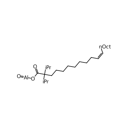 CCCCCCCC/C=C\CCCCCCCCC(C(=O)[O][Al]=[O])(C(C)C)C(C)C